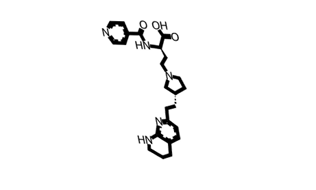 O=C(N[C@H](CCN1CC[C@H](CCc2ccc3c(n2)NCCC3)C1)C(=O)O)c1ccncc1